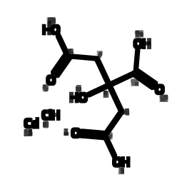 Cl.O=C(O)CC(O)(CC(=O)O)C(=O)O.[Cd]